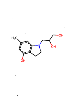 Cc1cc(O)c2c(c1)N(CC(O)CO)CC2